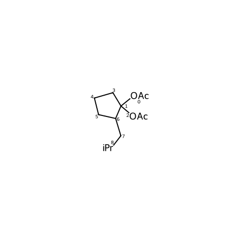 CC(=O)OC1(OC(C)=O)CCCC1CC(C)C